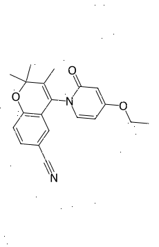 CCOc1ccn(C2=C(C)C(C)(C)Oc3ccc(C#N)cc32)c(=O)c1